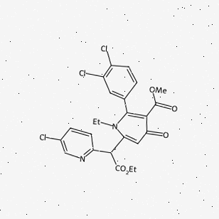 CCOC(=O)C(c1ccc(Cl)cn1)c1cc(=O)c(C(=O)OC)c(-c2ccc(Cl)c(Cl)c2)n1CC